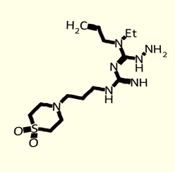 C=CCN(CC)/C(=N/C(=N)NCCCN1CCS(=O)(=O)CC1)NN